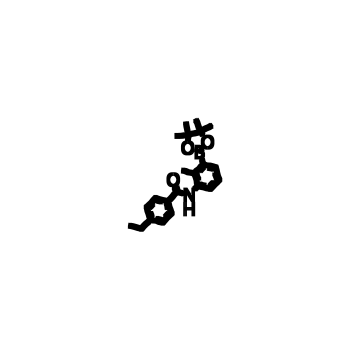 CCc1ccc(C(=O)Nc2cccc(B3OC(C)(C)C(C)(C)O3)c2C)cc1